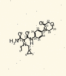 CCN(CC1CC1)[C@@H](C(N)=O)C(=O)Nc1ccc(N2CCOCC2=O)cc1